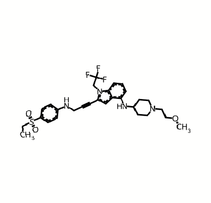 CCS(=O)(=O)c1ccc(NCC#Cc2cc3c(NC4CCN(CCOC)CC4)cccc3n2CC(F)(F)F)cc1